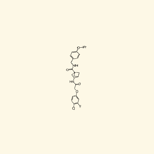 CC(C)Oc1ccc(CNC(=O)C23CC(C2)C(NC(=O)COc2ccc(Cl)c(F)c2)C3)cc1